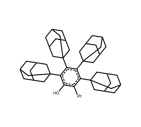 CC(C)c1c(O)c(C23CC4CC(CC(C4)C2)C3)c(C23CC4CC(CC(C4)C2)C3)c(C23CC4CC(CC(C4)C2)C3)c1C12CC3CC(CC(C3)C1)C2